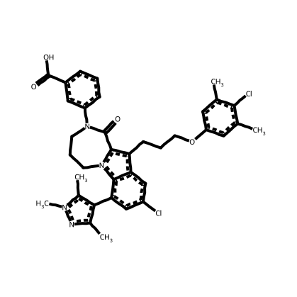 Cc1cc(OCCCc2c3n(c4c(-c5c(C)nn(C)c5C)cc(Cl)cc24)CCCN(c2cccc(C(=O)O)c2)C3=O)cc(C)c1Cl